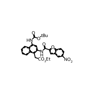 CCOC(=O)Cc1c(NC(=O)c2cc3cc([N+](=O)[O-])ccc3o2)cc(NC(=O)OC(C)(C)C)c2ccccc12